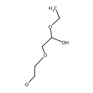 CCOC(O)COCC[O]